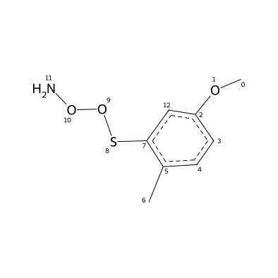 COc1ccc(C)c(SOON)c1